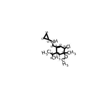 COC1(C)C=C(C(C)C)C(CNC2CC2)=CC1Cl